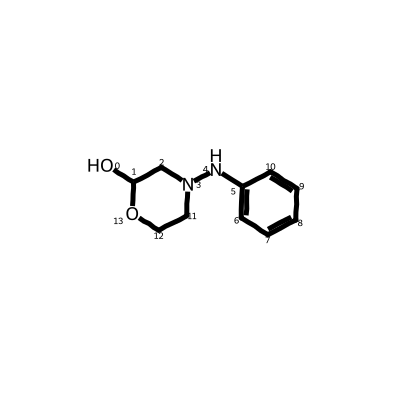 OC1CN(Nc2ccccc2)CCO1